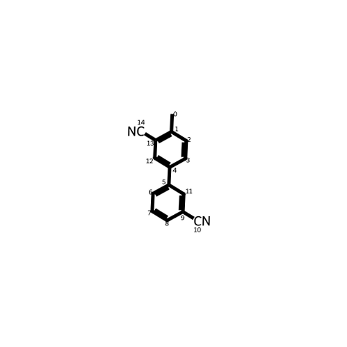 Cc1ccc(-c2cccc(C#N)c2)cc1C#N